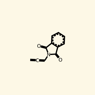 C=C=CN1C(=O)c2ccccc2C1=O